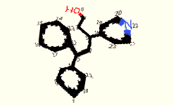 OCCC(CC(c1ccccc1)c1ccccc1)c1ccncc1